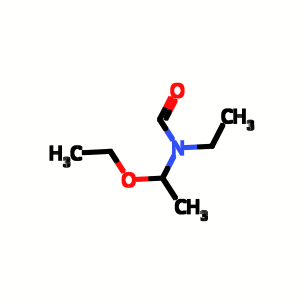 CCOC(C)N(C=O)CC